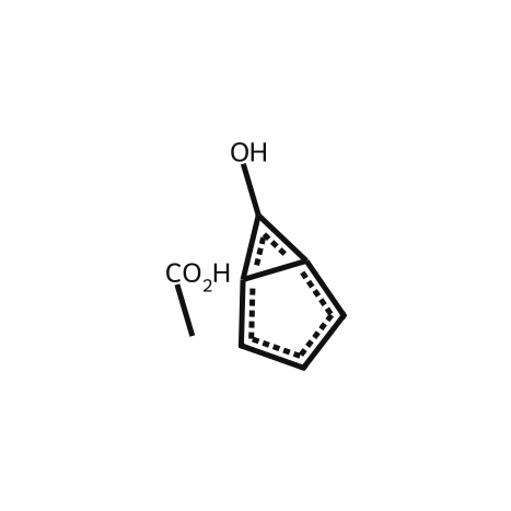 CC(=O)O.Oc1c2cccc1-2